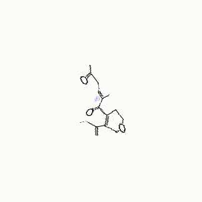 C=C(CC)C1=C(C(=O)/C(C)=C/CC(C)=O)CCOC1